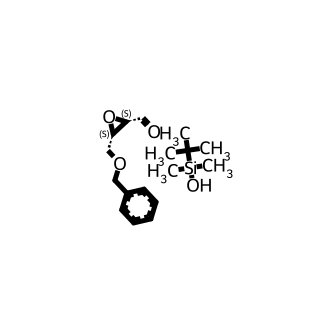 CC(C)(C)[Si](C)(C)O.O=C[C@H]1O[C@H]1COCc1ccccc1